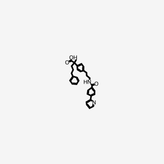 CC(CCCc1ccccc1)(C(=O)O)c1ccc(CCCNC(=O)c2ccc(-c3ccccn3)cc2)cc1